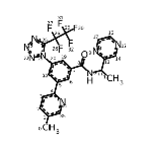 Cc1ccc(-c2cc(C(=O)NC(C)c3cnccn3)cc(-n3nnnc3C(F)(F)C(F)(F)F)c2)nc1